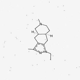 CCn1nc(C)c2c1C[C@@H]1CCN(C)C[C@@H]1C2